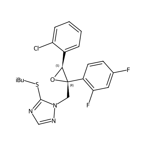 CCC(C)Sc1ncnn1C[C@@]1(c2ccc(F)cc2F)O[C@H]1c1ccccc1Cl